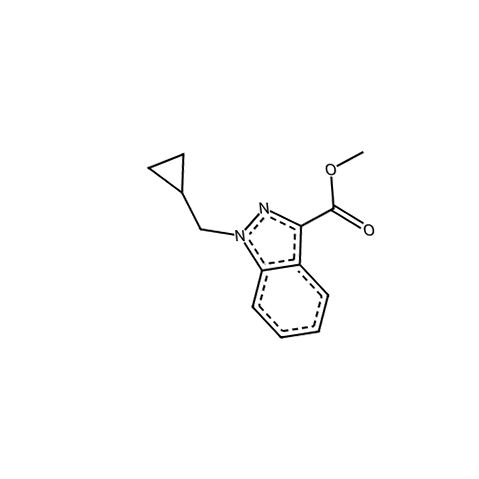 COC(=O)c1nn(CC2CC2)c2ccccc12